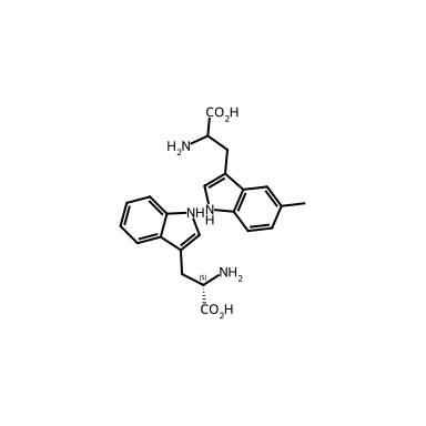 Cc1ccc2[nH]cc(CC(N)C(=O)O)c2c1.N[C@@H](Cc1c[nH]c2ccccc12)C(=O)O